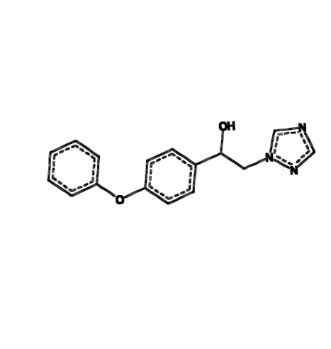 OC(Cn1cncn1)c1ccc(Oc2ccccc2)cc1